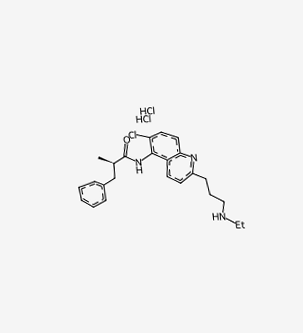 CCNCCCc1ccc2c(NC(=O)[C@H](C)Cc3ccccc3)c(Cl)ccc2n1.Cl.Cl